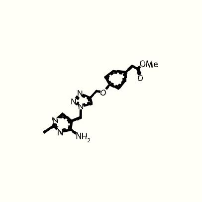 COC(=O)Cc1ccc(OCc2cn(Cc3cnc(C)nc3N)nn2)cc1